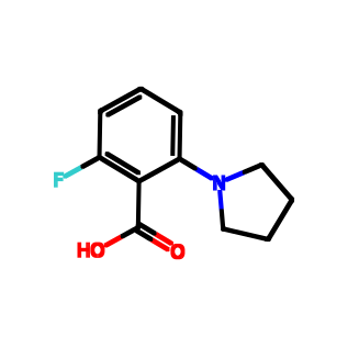 O=C(O)c1c(F)cccc1N1CCCC1